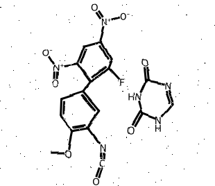 COc1ccc(-c2c(F)cc([N+](=O)[O-])cc2[N+](=O)[O-])cc1N=C=O.O=c1nc[nH]c(=O)[nH]1